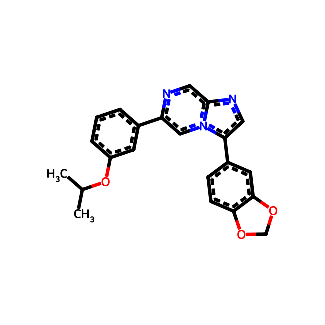 CC(C)Oc1cccc(-c2cn3c(-c4ccc5c(c4)OCO5)cnc3cn2)c1